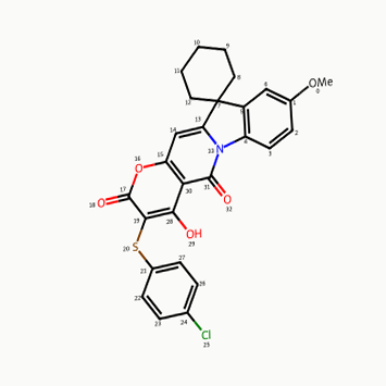 COc1ccc2c(c1)C1(CCCCC1)c1cc3oc(=O)c(Sc4ccc(Cl)cc4)c(O)c3c(=O)n1-2